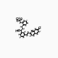 COC(=O)Cc1ccccc1CC[C@@H](O)c1cccc(/C=C/c2ccc3ccc(Cl)cc3n2)c1